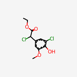 CCOC(=O)C(Cl)c1cc(Cl)c(O)c(OC)c1